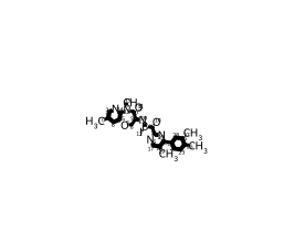 Cc1cnc2c(c1)OCC(=NB(I)C(=O)c1ncc(C)c(-c3ccc(C)c(C)c3)n1)C(=O)N2C